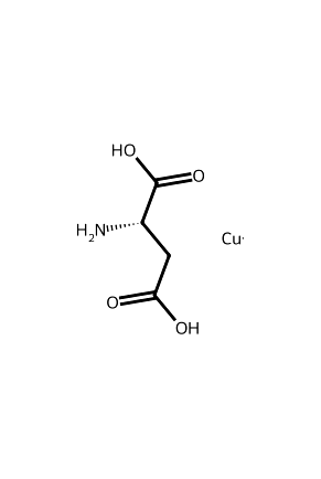 N[C@@H](CC(=O)O)C(=O)O.[Cu]